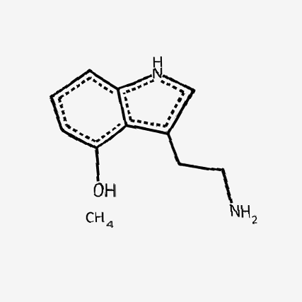 C.NCCc1c[nH]c2cccc(O)c12